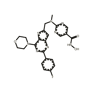 CN(Cc1cc2nc(-c3ccc(F)cc3)nc(N3CCOCC3)c2s1)c1ncc(C(=O)NO)cn1